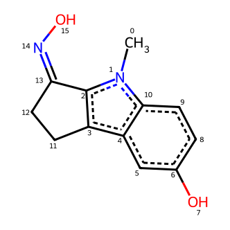 Cn1c2c(c3cc(O)ccc31)CCC2=NO